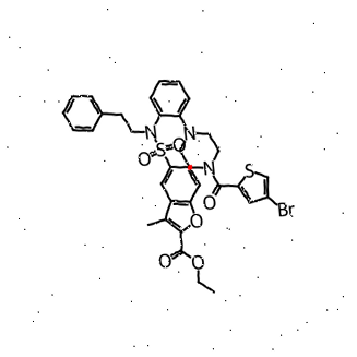 CCOC(=O)c1oc2ccc(S(=O)(=O)N(CCc3ccccc3)c3ccccc3N3CCN(C(=O)c4cc(Br)cs4)CC3)cc2c1C